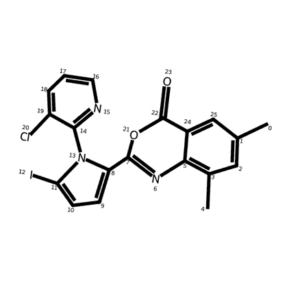 Cc1cc(C)c2nc(-c3ccc(I)n3-c3ncccc3Cl)oc(=O)c2c1